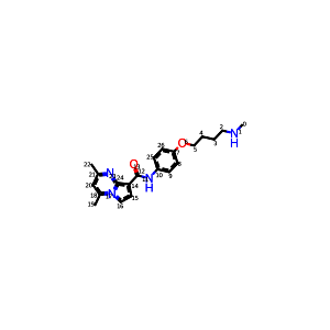 CNCCCCOc1ccc(NC(=O)c2ccn3c(C)cc(C)nc23)cc1